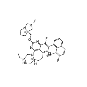 C#Cc1c(F)ccc2cccc(-c3c(Cl)c4c5c(nc(OC[C@@]67CCCN6C[C@H](F)C7)nc5c3F)N3C[C@@H](CC)NC[C@H]3CC4)c12